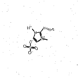 CCCCCCCc1n(C)cc[n+]1C.O=S(=O)([O-])[O-].[H+]